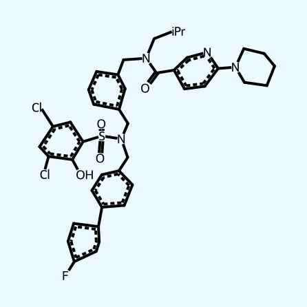 CC(C)CN(Cc1cccc(CN(Cc2ccc(-c3ccc(F)cc3)cc2)S(=O)(=O)c2cc(Cl)cc(Cl)c2O)c1)C(=O)c1ccc(N2CCCCC2)nc1